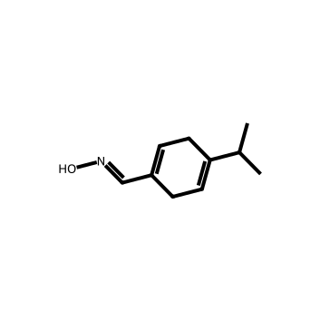 CC(C)C1=CCC(C=NO)=CC1